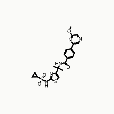 COc1cncc(-c2ccc(C(=O)NC(C)(C)c3csc(NS(=O)(=O)C4CC4)n3)cc2)n1